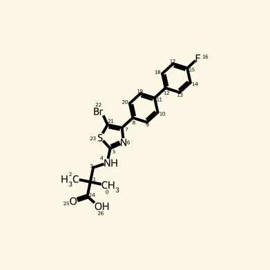 CC(C)(CNc1nc(-c2ccc(-c3ccc(F)cc3)cc2)c(Br)s1)C(=O)O